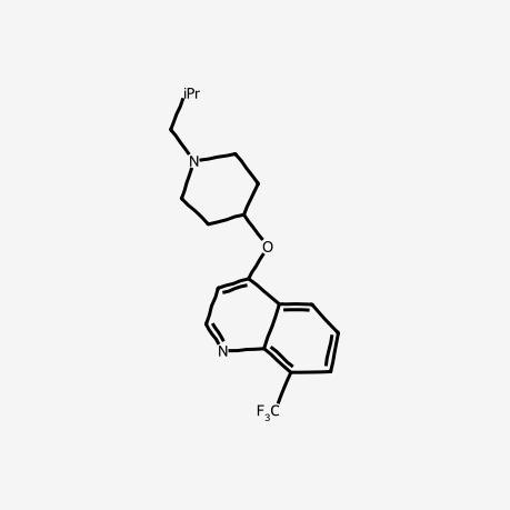 CC(C)CN1CCC(Oc2ccnc3c(C(F)(F)F)cccc23)CC1